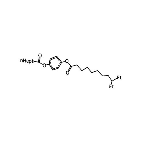 CCCCCCCC(=O)Oc1ccc(OC(=O)CCCCCCCC(CC)CC)cc1